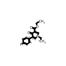 CCOC(=O)c1cn(CC)cc(-c2ccc(F)cc2)c1=O